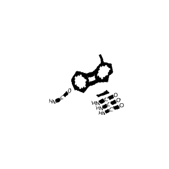 CC.Cc1cccc2c1=c1ccccc1=2.N=C=O.N=C=O.N=C=O.N=C=O